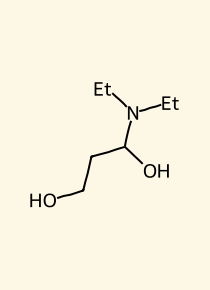 CCN(CC)C(O)CCO